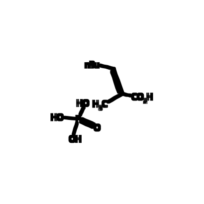 CCCCC=C(C)C(=O)O.O=P(O)(O)O